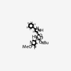 COc1ncc(N(NC(=O)c2cc(-c3ccccc3)n[nH]2)C(=O)OC(C)(C)C)cc1F